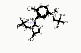 O=C1CS/C(=N\c2cc([S+]([O-])CC(F)(F)F)ccc2Cl)N1CC(F)(F)F